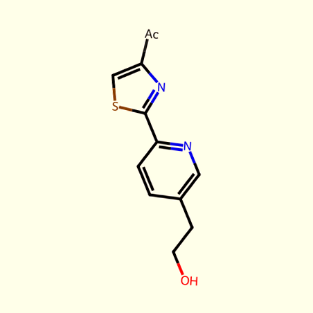 CC(=O)c1csc(-c2ccc(CCO)cn2)n1